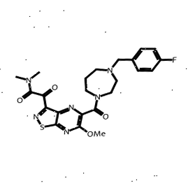 COc1nc2snc(C(=O)C(=O)N(C)C)c2nc1C(=O)N1CCCN(Cc2ccc(F)cc2)CC1